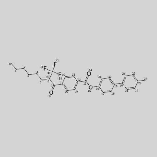 CCCCCC[C@@H](C(=O)c1ccc(C(=O)Oc2ccc(-c3ccc(C)cc3)cc2)cc1)C(F)(F)F